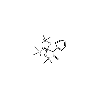 C=CC(c1ccccc1)[Si](O[Si](C)(C)C)(O[Si](C)(C)C)O[Si](C)(C)C